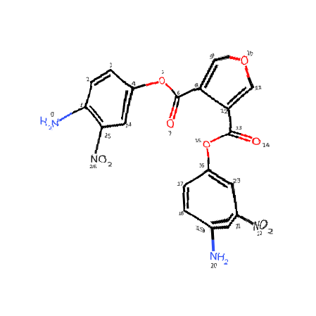 Nc1ccc(OC(=O)c2cocc2C(=O)Oc2ccc(N)c([N+](=O)[O-])c2)cc1[N+](=O)[O-]